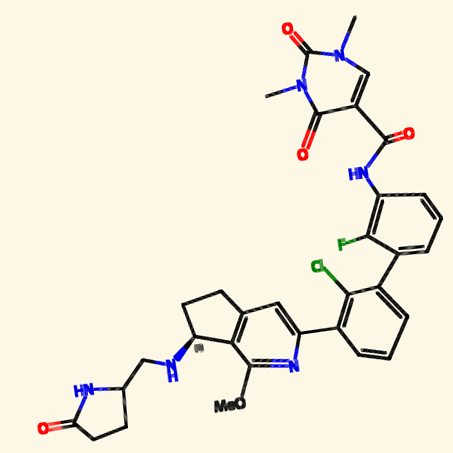 COc1nc(-c2cccc(-c3cccc(NC(=O)c4cn(C)c(=O)n(C)c4=O)c3F)c2Cl)cc2c1[C@@H](NCC1CCC(=O)N1)CC2